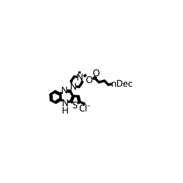 CCCCCCCCCCCCCC(=O)OC[N+]1(C)CCN(C2=Nc3ccccc3Nc3sc(C)cc32)CC1.[Cl-]